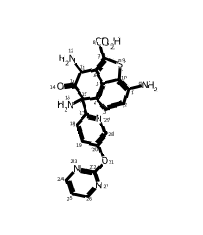 Nc1ccc2c3c(c(C(=O)O)sc13)C(N)C(=O)C2(N)c1ccc(Oc2ncccn2)cn1